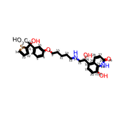 O=C(O)C(O)(c1cccc(OCCCCCNC[C@H](O)c2ccc(O)c3[nH]c(=O)ccc23)c1)c1cccs1